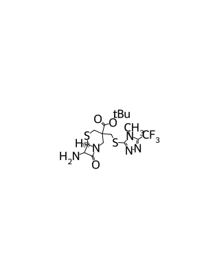 Cn1c(SCC2(C(=O)OC(C)(C)C)CS[C@@H]3C(N)C(=O)N3C2)nnc1C(F)(F)F